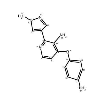 Cn1cc(-c2nccc(Oc3ccc(N)cc3)c2N)cn1